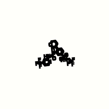 O=C(Nc1cc(C(F)(F)F)ccn1)Nc1cc(S(=O)(=O)NCC(F)(F)F)ccc1C1CCCOC1